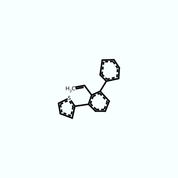 C=Cc1c(-c2ccccc2)cccc1-c1cccs1